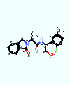 Cc1ccc(F)c([C@@H](CO)NC(=O)C(C)N2Cc3ccccc3C2=O)c1